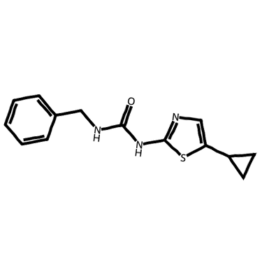 O=C(NCc1ccccc1)Nc1ncc(C2CC2)s1